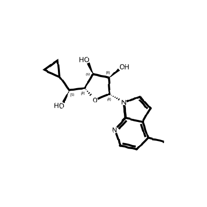 Cc1ccnc2c1ccn2[C@@H]1O[C@H]([C@@H](O)C2CC2)[C@@H](O)[C@H]1O